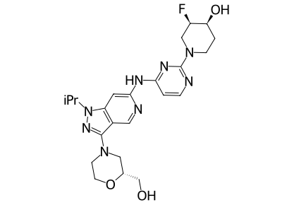 CC(C)n1nc(N2CCO[C@@H](CO)C2)c2cnc(Nc3ccnc(N4CC[C@H](O)[C@H](F)C4)n3)cc21